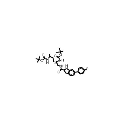 CC(CC[C@@H](CNC(=O)C1Cc2ccc(-c3ccc(F)cc3)cc2N1)NC(=O)OC(C)(C)C)NC(=O)OC(C)(C)C